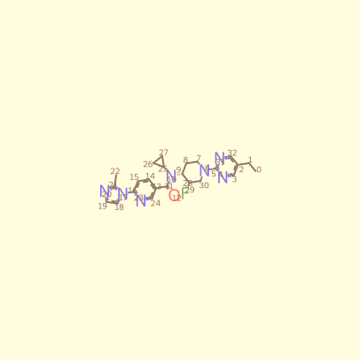 CCc1cnc(N2CC[C@@H](N(C(=O)c3ccc(-n4ccnc4C)nc3)C3CC3)C(F)C2)nc1